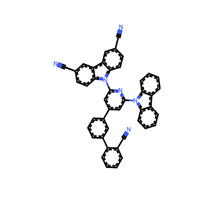 N#Cc1ccc2c(c1)c1cc(C#N)ccc1n2-c1cc(-c2cccc(-c3ccccc3C#N)c2)cc(-n2c3ccccc3c3ccccc32)n1